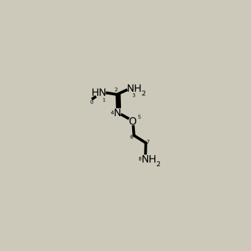 CNC(N)=NOCCN